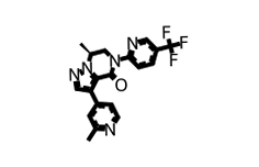 Cc1cc(-c2cnn3c2C(=O)N(c2ccc(C(F)(F)F)cn2)C[C@@H]3C)ccn1